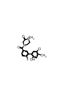 Cc1cc(O)c(-c2cc(C(=O)N3CCN(C)C(=O)C3)ccc2F)cc1Cl